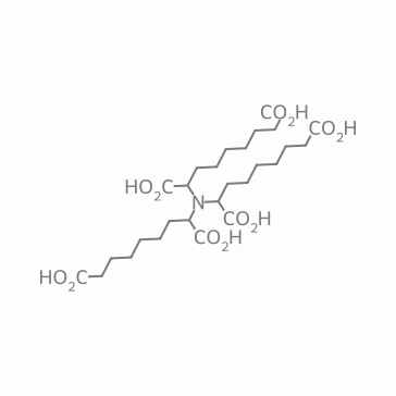 O=C(O)CCCCCCC(C(=O)O)N(C(CCCCCCC(=O)O)C(=O)O)C(CCCCCCC(=O)O)C(=O)O